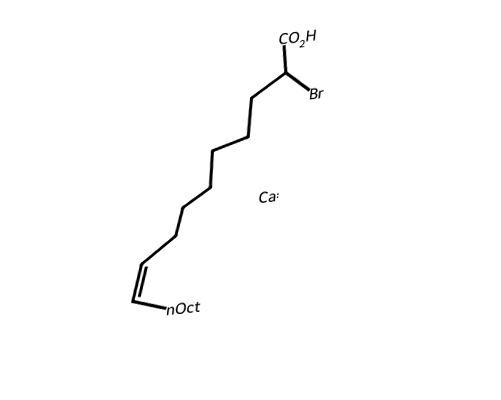 CCCCCCCC/C=C\CCCCCCC(Br)C(=O)O.[Ca]